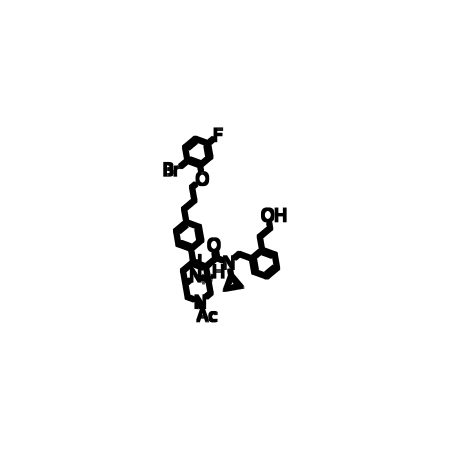 CC(=O)N1CC2CC(c3ccc(CCCOc4cc(F)ccc4Br)cc3)=C(C(=O)N(Cc3ccccc3CCO)C3CC3)[C@@H](C1)N2